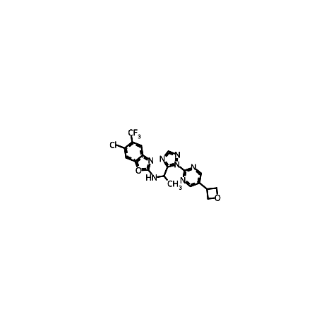 CC(Nc1nc2cc(C(F)(F)F)c(Cl)cc2o1)c1ncnn1-c1ncc(C2COC2)cn1